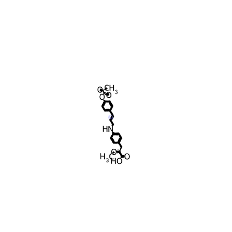 CO[C@@H](Cc1ccc(NC/C=C/c2ccc(OS(C)(=O)=O)cc2)cc1)C(=O)O